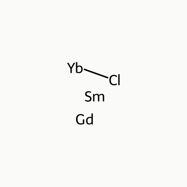 [Cl][Yb].[Gd].[Sm]